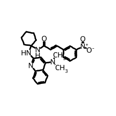 CN(C)c1cc(NC2(NC(=O)/C=C/c3cccc([N+](=O)[O-])c3)CCCCC2)nc2ccccc12